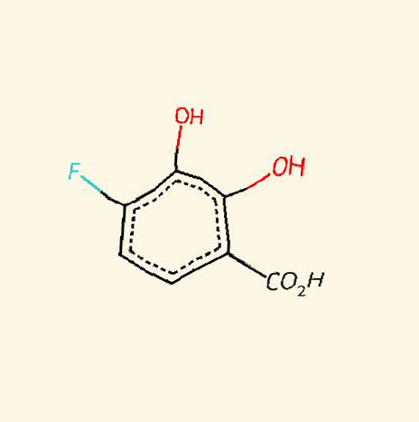 O=C(O)c1ccc(F)c(O)c1O